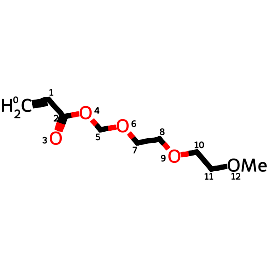 C=CC(=O)OCOCCOCCOC